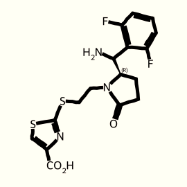 NC(c1c(F)cccc1F)[C@H]1CCC(=O)N1CCSc1nc(C(=O)O)cs1